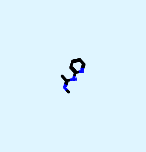 C/N=C(/C)Nc1ccccn1